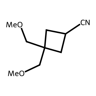 COCC1(COC)CC(C#N)C1